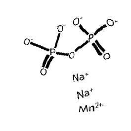 O=P([O-])([O-])OP(=O)([O-])[O-].[Mn+2].[Na+].[Na+]